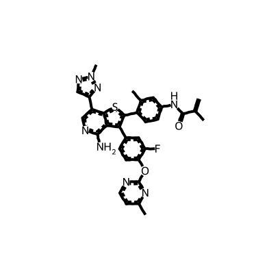 C=C(C)C(=O)Nc1ccc(-c2sc3c(-c4cnn(C)n4)cnc(N)c3c2-c2ccc(Oc3nccc(C)n3)c(F)c2)c(C)c1